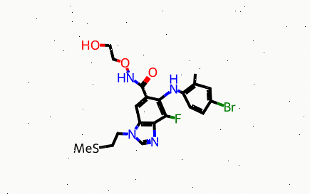 CSCCn1cnc2c(F)c(Nc3ccc(Br)cc3C)c(C(=O)NOCCO)cc21